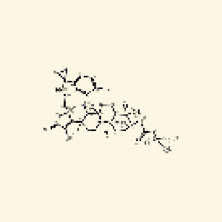 CC(C)C1=C2[C@H]3CC[C@@H]4[C@@]5(C)CC[C@H](OC(=O)CC(C)(C)C(=O)O)C(C)(C)C5CC[C@@]4(C)[C@]3(C)CC[C@@]2(CCNC2(c3ccc(Cl)cc3)CC2)CC1=O